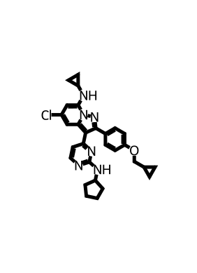 Clc1cc(NC2CC2)n2nc(-c3ccc(OCC4CC4)cc3)c(-c3ccnc(NC4CCCC4)n3)c2c1